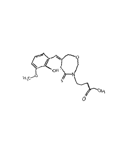 COc1cccc(/C=C2/COCN(CCC(=O)O)C(=S)S2)c1O